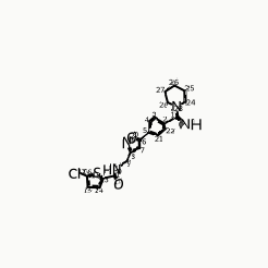 N=C(c1ccc(-c2cc(CNC(=O)c3ccc(Cl)s3)no2)cc1)N1CCCCC1